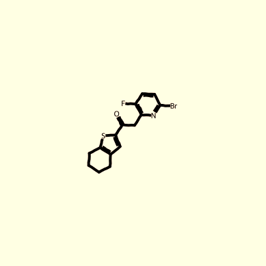 O=C(Cc1nc(Br)ccc1F)c1cc2c(s1)CCCC2